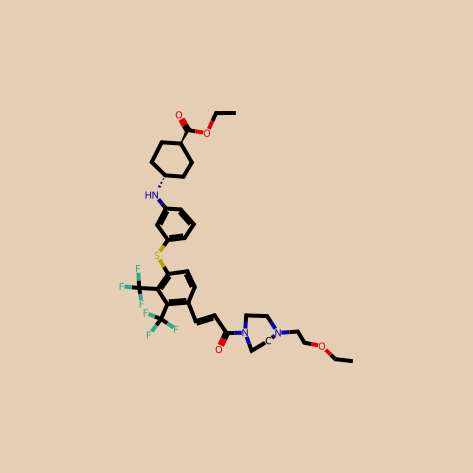 CCOCCN1CCN(C(=O)C=Cc2ccc(Sc3cccc(N[C@H]4CC[C@H](C(=O)OCC)CC4)c3)c(C(F)(F)F)c2C(F)(F)F)CC1